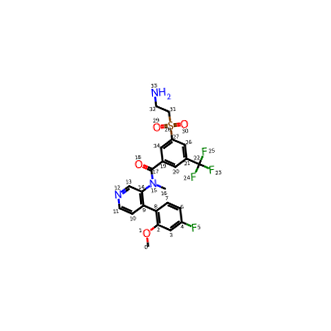 COc1cc(F)ccc1-c1ccncc1N(C)C(=O)c1cc(C(F)(F)F)cc(S(=O)(=O)CCN)c1